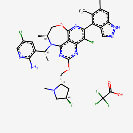 Cc1cc2[nH]ncc2c(-c2nc3c4c(nc(OC[C@@H]5C[C@@H](F)CN5C)nc4c2F)N([C@H](C)c2cc(Cl)cnc2N)[C@@H](C)CO3)c1C(F)(F)F.O=C(O)C(F)(F)F